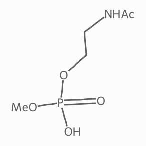 COP(=O)(O)OCCNC(C)=O